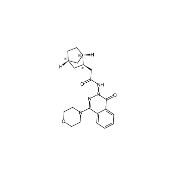 O=C(C[C@H]1C[C@@H]2CC[C@H]1C2)Nn1nc(N2CCOCC2)c2ccccc2c1=O